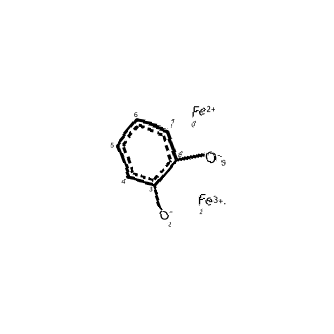 [Fe+2].[Fe+3].[O-]c1ccccc1[O-]